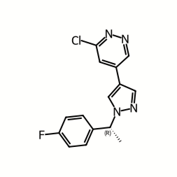 C[C@H](c1ccc(F)cc1)n1cc(-c2cnnc(Cl)c2)cn1